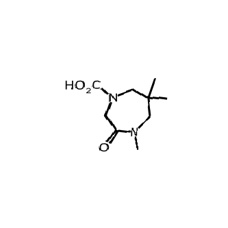 CN1CC(C)(C)CN(C(=O)O)CC1=O